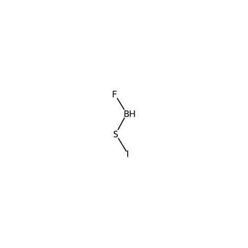 FBSI